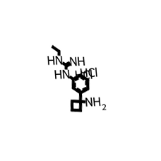 CCNC(=N)Nc1cccc(C2(N)CCC2)c1.Cl.Cl